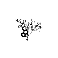 CC(C)SSC(C)C.CCN(CC)C(=O)[C@@H]1C=C2c3cccc4[nH]cc(c34)C[C@H]2N(C)C1.OC(=S)S